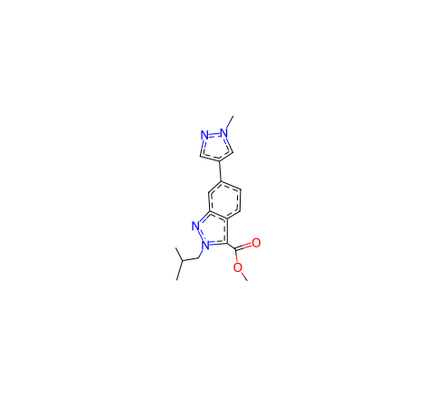 COC(=O)c1c2ccc(-c3cnn(C)c3)cc2nn1CC(C)C